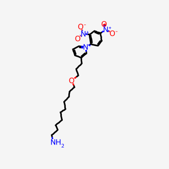 NCCCCCCCCCCOCCCc1ccc[n+](-c2ccc([N+](=O)[O-])cc2[N+](=O)[O-])c1